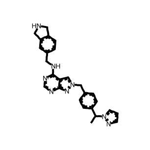 CC(c1ccc(Cn2cc3c(NCc4ccc5c(c4)CNC5)ncnc3n2)cc1)n1cccn1